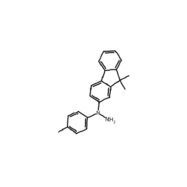 Cc1ccc(N(N)c2ccc3c(c2)C(C)(C)c2ccccc2-3)cc1